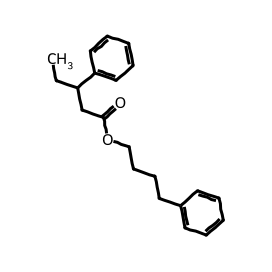 CCC(CC(=O)OCCCCc1ccccc1)c1ccccc1